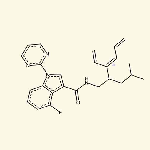 C=C/C=C(\C=C)C(CNC(=O)c1cn(-c2ncccn2)c2cccc(F)c12)CC(C)C